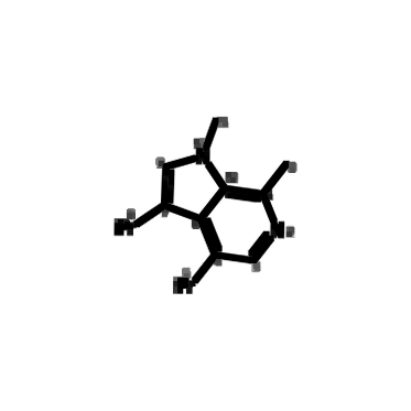 Cc1ncc(C(C)C)c2c(C(C)C)cn(C)c12